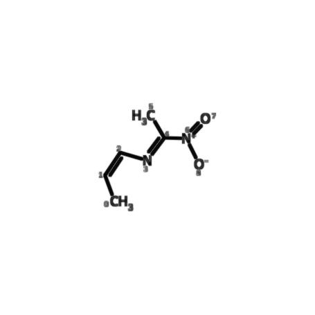 C/C=C\N=C(/C)[N+](=O)[O-]